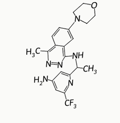 Cc1nnc(NC(C)c2cc(N)cc(C(F)(F)F)n2)c2cc(N3CCOCC3)ccc12